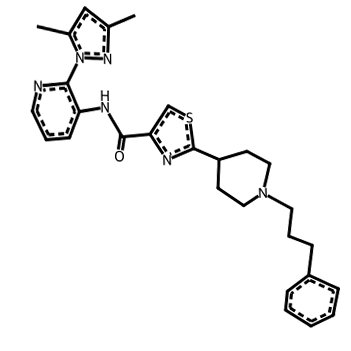 Cc1cc(C)n(-c2ncccc2NC(=O)c2csc(C3CCN(CCCc4ccccc4)CC3)n2)n1